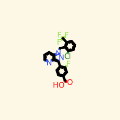 O=C(O)c1ccc(-c2nn(Cc3c(Cl)cccc3C(F)(F)F)c3cccnc23)c(F)c1